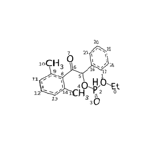 CCO[PH](=O)OC(C(=O)c1c(C)cccc1C)c1ccccc1